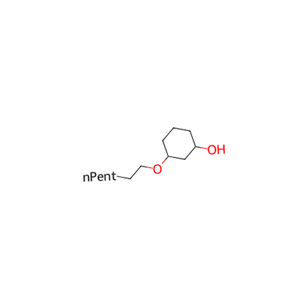 CCCCCCCOC1CCCC(O)C1